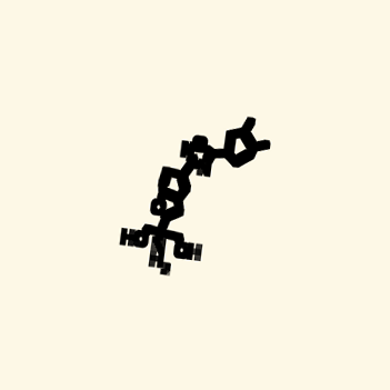 Cc1ccc(-c2nc(-c3ccc4oc(C(N)(CO)CO)cc4c3)no2)cc1C